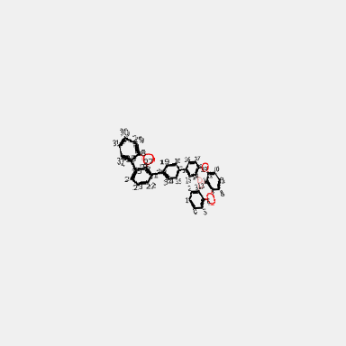 c1ccc2c(c1)Oc1cccc3c1B2c1cc(-c2ccc(-c4cccc5c4oc4ccccc45)cc2)ccc1O3